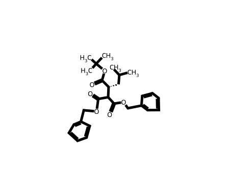 CC(C)C[C@@H](C(=O)OC(C)(C)C)C(C(=O)OCc1ccccc1)C(=O)OCc1ccccc1